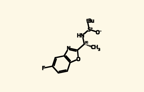 C[C@@H](N[S+]([O-])C(C)(C)C)c1nc2cc(F)ccc2o1